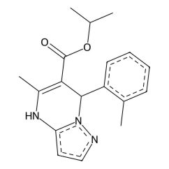 CC1=C(C(=O)OC(C)C)C(c2ccccc2C)n2nccc2N1